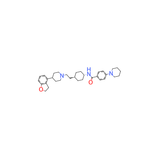 O=C(N[C@H]1CC[C@H](CCN2CCC(c3cccc4c3CCO4)CC2)CC1)c1ccc(N2CCCCC2)cc1